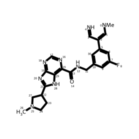 CN/C=C(\C=N)c1cc(F)cc(CNC(=O)c2ncnc3nc(C4CCN(C)C4)[nH]c23)c1